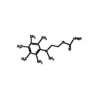 CCCCCCCC(=O)OCCN(C)c1c(C)c(C)c(C)c(C)c1C